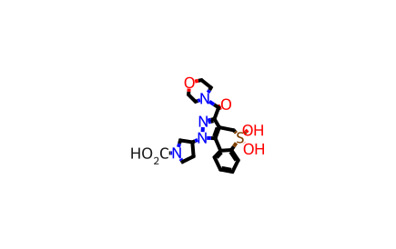 O=C(O)N1CCC(n2nc(C(=O)N3CCOCC3)c3c2-c2ccccc2S(O)(O)C3)C1